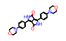 O=C1NC(c2ccc(N3CCOCC3)cc2)=C2C(=O)NC(c3ccc(N4CCOCC4)cc3)=C12